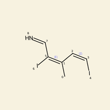 CC(/C=C\I)=C(\I)C=N